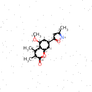 COc1cc(-c2cc(C)no2)cc2oc(=O)c(C)c(C)c12